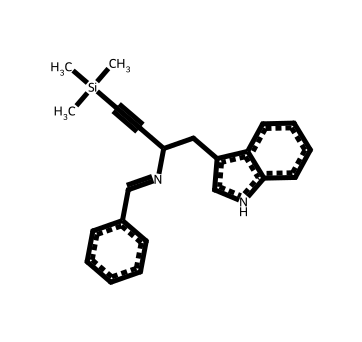 C[Si](C)(C)C#CC(Cc1c[nH]c2ccccc12)N=Cc1ccccc1